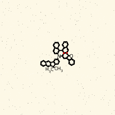 CC1(C)c2ccc(N(c3ccc4oc5ccccc5c4c3)c3ccc4ccccc4c3-c3cccc4ccccc34)cc2-c2cc3ccccc3cc21